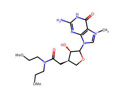 COCCN(CCOC)C(=O)C[C@@H]1COC(n2c[n+](C)c3c(=O)[nH]c(N)nc32)[C@@H]1O